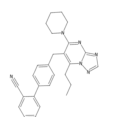 CCCc1c(Cc2ccc(-c3ccccc3C#N)cc2)c(N2CCCCC2)nc2ncnn12